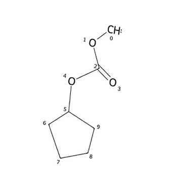 [CH]OC(=O)OC1CCCC1